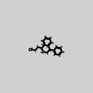 ClCCC1OCC(c2ccccc2)c2ccccc21